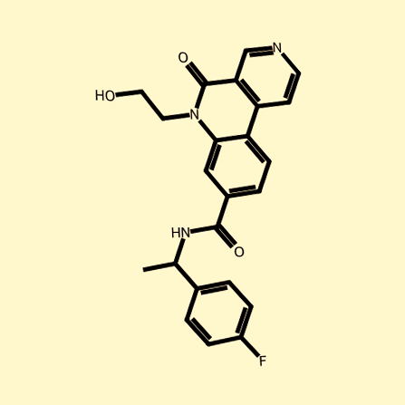 CC(NC(=O)c1ccc2c3ccncc3c(=O)n(CCO)c2c1)c1ccc(F)cc1